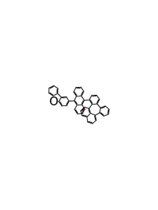 c1ccc2c(c1)-c1cccc(-c3c4ccccc4c(-c4ccc5oc6ccccc6c5c4)c4ccccc34)c1-c1cccc3cccc-2c13